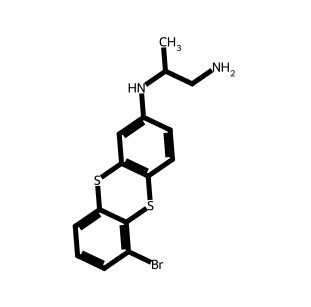 CC(CN)Nc1ccc2c(c1)Sc1cccc(Br)c1S2